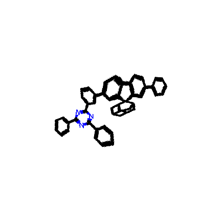 c1ccc(-c2ccc3c(c2)C2(c4cc(-c5cccc(-c6nc(-c7ccccc7)nc(-c7ccccc7)n6)c5)ccc4-3)C3CC4CC(C3)CC2C4)cc1